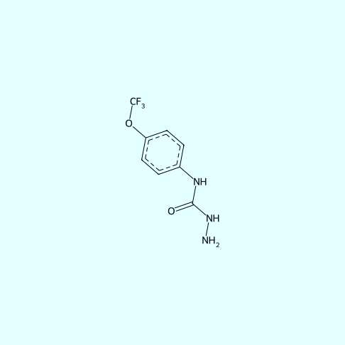 NNC(=O)Nc1ccc(OC(F)(F)F)cc1